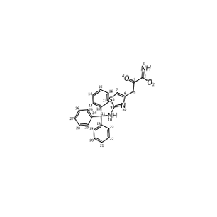 N=C([O])C(=O)Cc1csc(NC(c2ccccc2)(c2ccccc2)c2ccccc2)n1